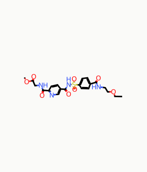 CCOCCNC(=O)c1ccc(S(=O)(=O)NC(=O)c2ccc(C(=O)NCC(=O)OC)nc2)cc1